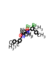 CC1=C(c2ccc(C)cc2)C=C(C2=N[C@](C)(C[C@@]3(C)N=C(c4ccc(C)c(-c5ccc(C)cc5)c4)O[CH]3[Ni])[CH]([Ni])O2)C(Br)C1Br